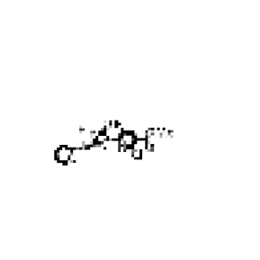 CCn1c(COC2CCCCO2)nn(-c2nc(Cl)c(C(=O)OC)cc2F)c1=O